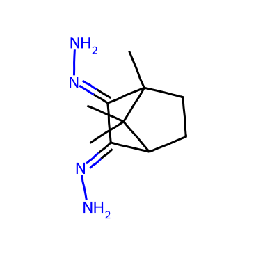 CC12CCC(C(=NN)C1=NN)C2(C)C